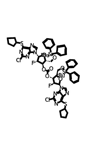 CC(C)(C)[Si](OC[C@H]1O[C@@H](n2cnc3c(SC4CCCC4)nc(Cl)nc32)[C@@H](F)[C@@H]1OC(=O)O[C@H]1[C@H](F)[C@H](n2cnc3c(SC4CCCC4)nc(Cl)nc32)O[C@@H]1CO[Si](c1ccccc1)(c1ccccc1)C(C)(C)C)(c1ccccc1)c1ccccc1